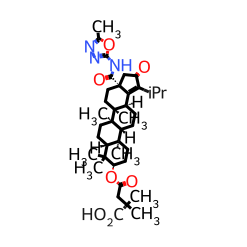 Cc1nnc(NC(=O)[C@@]23CC[C@]4(C)[C@H](CC[C@@H]5[C@@]6(C)CC[C@H](OC(=O)CC(C)(C)C(=O)O)C(C)(C)[C@@H]6CC[C@]54C)C2=C(C(C)C)C(=O)C3)o1